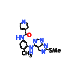 CSc1ncc2c(Nc3cc(NC(=O)c4ccncc4)ccc3C)ncnc2n1